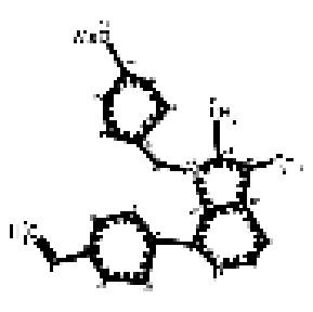 C=Cc1ccc(-c2nccc3c(C)c(C)n(Cc4ccc(OC)cc4)c23)cc1